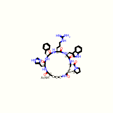 CC(=O)N[C@H]1CCCNC(=O)CC[C@@H](C(=O)N2CCC[C@H]2C(C)=O)NC(=O)[C@H](Cc2c[nH]c3ccccc23)NC(=O)[C@H](CCCNC(=N)N)NC(=O)[C@@H](Cc2ccccc2)NC(=O)[C@H](Cc2c[nH]cn2)NC1=O